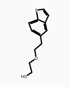 OCCOCCc1ccc2sccc2c1